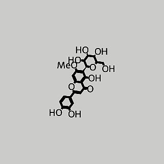 COc1cc2oc(-c3ccc(O)c(O)c3)cc(=O)c2c(O)c1[C@@H]1OC(CO)[C@@H](O)[C@H](O)C1O